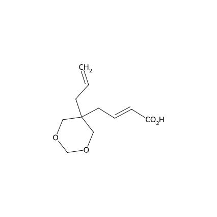 C=CCC1(CC=CC(=O)O)COCOC1